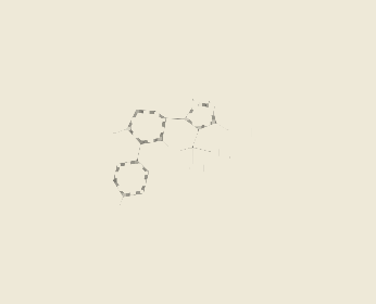 CCOC(=O)c1n[nH]c2c1C(C)(C)Oc1c-2ccc(I)c1-c1ccc(F)cc1